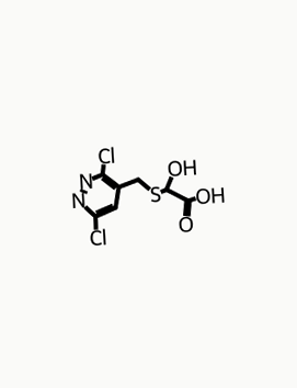 O=C(O)C(O)SCc1cc(Cl)nnc1Cl